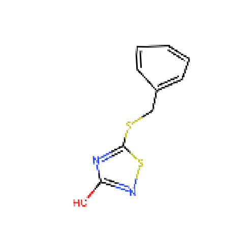 Oc1nsc(SCc2ccccc2)n1